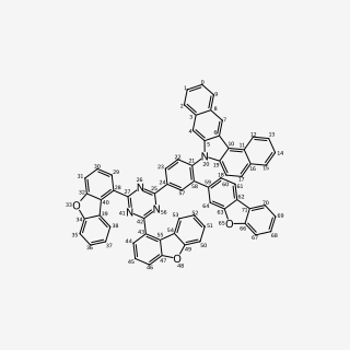 c1ccc2cc3c(cc2c1)c1c2ccccc2ccc1n3-c1ccc(-c2nc(-c3cccc4oc5ccccc5c34)nc(-c3cccc4oc5ccccc5c34)n2)cc1-c1ccc2c(c1)oc1ccccc12